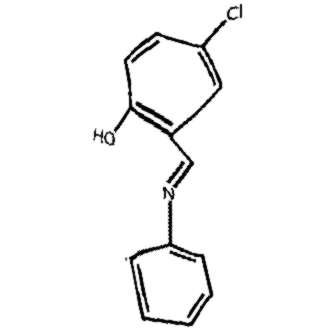 Oc1ccc(Cl)cc1C=Nc1[c]cccc1